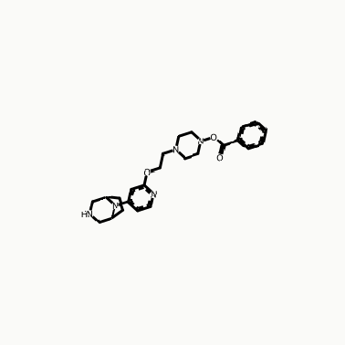 O=C(ON1CCN(CCOc2cc(N3C4CCC3CNC4)ccn2)CC1)c1ccccc1